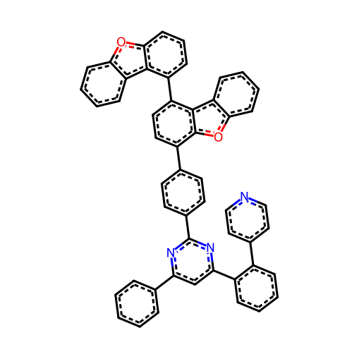 c1ccc(-c2cc(-c3ccccc3-c3ccncc3)nc(-c3ccc(-c4ccc(-c5cccc6oc7ccccc7c56)c5c4oc4ccccc45)cc3)n2)cc1